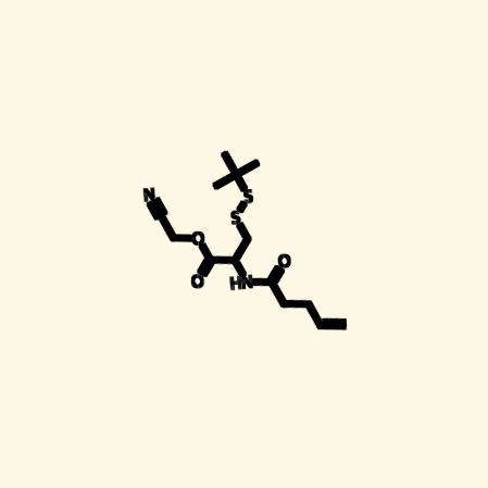 C=CCCC(=O)NC(CSSC(C)(C)C)C(=O)OCC#N